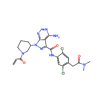 C=CC(=O)N1CCCC(n2nc(C(=O)Nc3cc(Cl)c(CC(=O)N(C)C)cc3Cl)c3c(N)ncnc32)C1